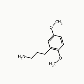 COc1ccc(OC)c(CCCN)c1